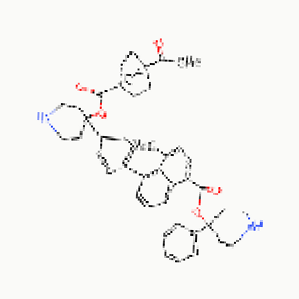 COC(=O)C12CCC(C(=O)OC3(c4ccc(-c5cccc6c(C(=O)OC7(c8ccccc8)CCNCC7)ccc(OC)c56)cc4)CCNCC3)(CC1)CC2